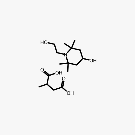 CC(CC(=O)O)C(=O)O.CC1(C)CC(O)CC(C)(C)N1CCO